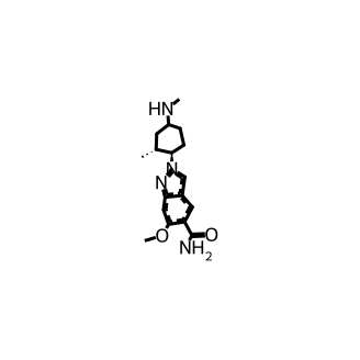 CNC1CC[C@@H](n2cc3cc(C(N)=O)c(OC)cc3n2)[C@H](C)C1